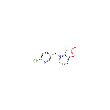 O=c1cc2n(Cc3ccc(Cl)nc3)cccc-2o1